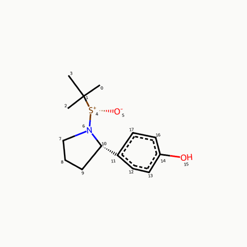 CC(C)(C)[S@+]([O-])N1CCC[C@H]1c1ccc(O)cc1